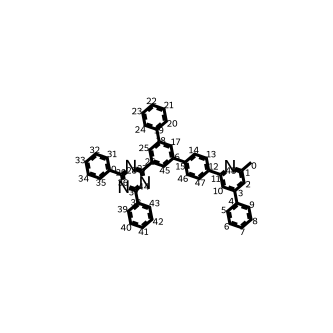 Cc1cc(-c2ccccc2)cc(-c2ccc(-c3cc(-c4ccccc4)cc(-c4nc(-c5ccccc5)nc(-c5ccccc5)n4)c3)cc2)n1